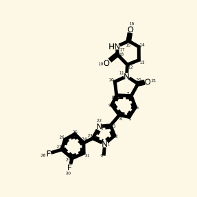 Cn1cc(-c2ccc3c(c2)CN(C2CCC(=O)NC2=O)C3=O)nc1-c1ccc(F)c(F)c1